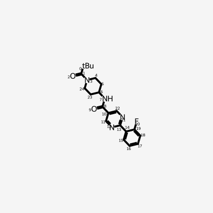 CC(C)(C)C(=O)N1CCC(NC(=O)c2cnc(-c3ccccc3F)nc2)CC1